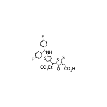 CCOC(=O)C(=C1SC(=S)N(CC(=O)O)C1=O)c1csc(NC(c2ccc(F)cc2)c2ccc(F)cc2)n1